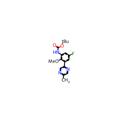 COc1c(NC(=O)OC(C)(C)C)cc(F)cc1-c1cnc(C)cn1